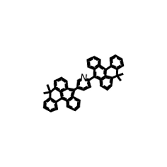 CC1(C)c2ccccc2-c2c3ccccc3c(-c3ccc(-c4c5ccccc5c5c6c(cccc46)C(C)(C)c4ccccc4-5)nc3)c3cccc1c23